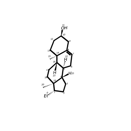 CC[C@H]1CC[C@H]2[C@@H]3CC=C4C[C@H](O)CC[C@]4(C)[C@H]3CC[C@]12C